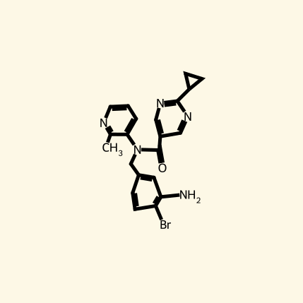 Cc1ncccc1N(Cc1ccc(Br)c(N)c1)C(=O)c1cnc(C2CC2)nc1